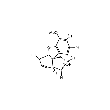 [2H]c1c([2H])c2c3c(c1OC)OC1C(O)C=C[C@@]4([2H])[C@H](N(C)CC[C@]314)C2([2H])[2H]